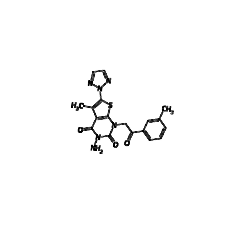 Cc1cccc(C(=O)Cn2c(=O)n(N)c(=O)c3c(C)c(-n4nccn4)sc32)c1